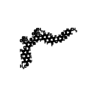 COc1c(F)c(F)c(-c2c(F)c(F)c(Oc3ccc(S(=O)(=O)c4ccc(Oc5c(F)c(F)c(-c6c(F)c(F)c(Oc7ccc(S(=O)(=O)c8ccc(C)cc8)cc7)c(F)c6F)c(F)c5F)c(S(=O)(=O)OC)c4)cc3CS(=O)(=O)O)c(F)c2F)c(F)c1F